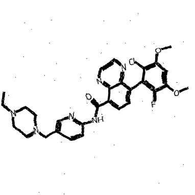 CCN1CCN(Cc2ccc(NC(=O)c3ccc(-c4c(F)c(OC)cc(OC)c4Cl)c4nccnc34)nc2)CC1